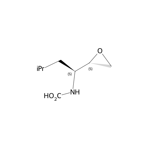 CC(C)C[C@H](NC(=O)O)[C@H]1CO1